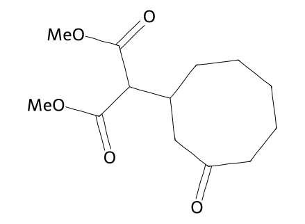 COC(=O)C(C(=O)OC)C1CCCCCC(=O)C1